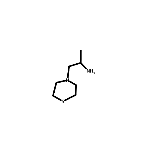 CC(N)CN1CCSCC1